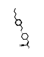 CCCCc1ccc(CC[C@H]2CC[C@H](/C=C(/F)C#N)CC2)cc1